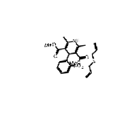 C=CCSCC=C.COC(=O)C1=C(C)NC(C)=C(C(=O)OC)C1c1ccccc1[N+](=O)[O-]